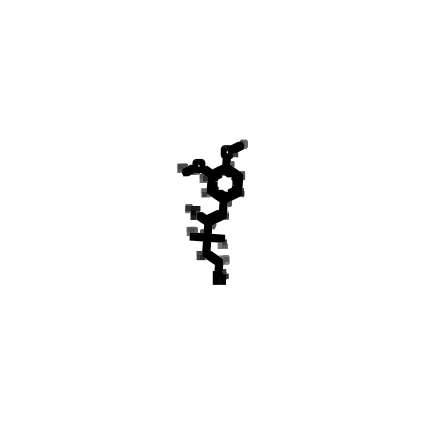 COc1ccc(C=C(F)C(C)(C)CCBr)cc1OC